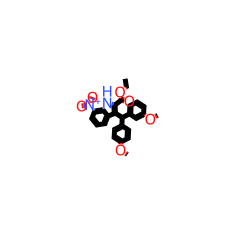 CCOC(=O)c1[nH]c2c([N+](=O)[O-])cccc2c1C(c1ccc(OC)cc1)c1cccc(OC)c1